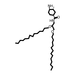 CCCCCCCCCCCCCCOCC(CNC(=O)[C@H]1CC[C@@H](N)CC1)OCCCCCCCCCCCCCC